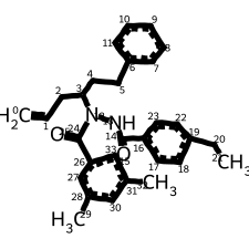 C=CCC(CCc1ccccc1)N(NC(=O)c1ccc(CC)cc1)C(=O)c1cc(C)cc(C)c1